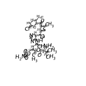 CC[C@H](C)[C@H](N)C(=O)O[C@@H](C)[C@@H](COS(N)(=O)=O)C[C@H](C)Nc1ncncc1C(=O)c1cc([C@@H]2OCCc3ccc(Cl)cc32)c(C)s1